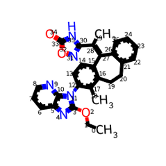 CCOc1nc2cccnc2n1-c1ccc2c(c1C)CCc1ccccc1C2=C(C)c1noc(=O)[nH]1